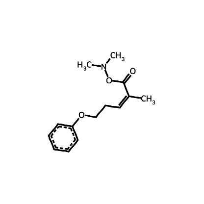 CC(=CCCOc1ccccc1)C(=O)ON(C)C